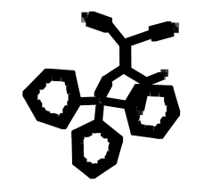 N#CC(C#N)=C(C=P(c1ccccc1)(c1ccccc1)c1ccccc1)C(F)F